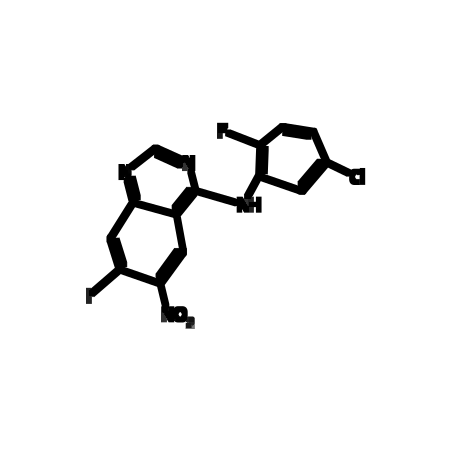 O=[N+]([O-])c1cc2c(Nc3cc(Cl)ccc3F)ncnc2cc1I